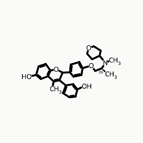 CC1=C(c2cccc(O)c2)C(c2ccc(OC[C@H](C)N(C)C3CCOCC3)cc2)Oc2ccc(O)cc21